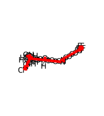 O=C(CCOCCOCCOCCOCc1cn(CCOCCOCCOCCOCCC(=O)Oc2c(F)c(F)c(F)c(F)c2F)nn1)NCCOCCOCCO[C@]1(C(=O)O)C[C@H](O)[C@@H](NC(=O)CO)[C@H]([C@H](O)[C@H](O)CNC(=O)Cc2ccc(Cl)cc2)O1